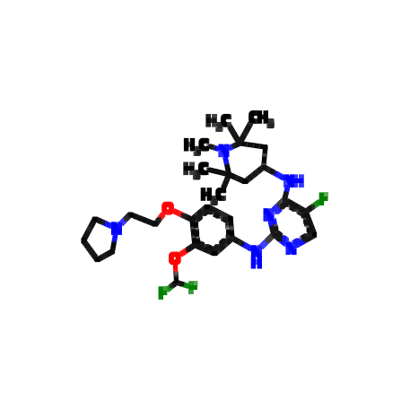 CN1C(C)(C)CC(Nc2nc(Nc3ccc(OCCN4CCCC4)c(OC(F)F)c3)ncc2F)CC1(C)C